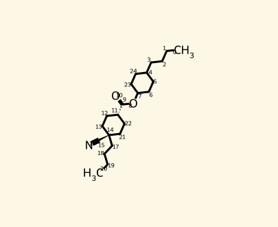 CCCCC1CCC(OC(=O)[C@H]2CC[C@@](C#N)(CCCC)CC2)CC1